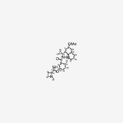 COc1cc(C2(NC(=O)c3cc(O[C@@H]([SiH3])[C@@H]4CCN4C)ccc3C)CC2)c2ncccc2c1